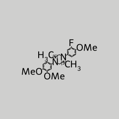 COc1ccc(N2C[C@H](C)N(c3ccc(OC)c(OC)c3)C[C@@H]2C)cc1F